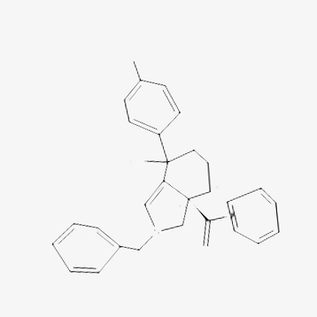 O=C(O)[C@@]12CN(Cc3ccccc3)C=C1C(O)(c1ccc(F)cc1)CC[C@@H]2c1ccccc1